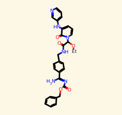 CCOC(C(=O)NCc1ccc(C(N)=NC(=O)OCc2ccccc2)cc1)n1cccc(Nc2cccnc2)c1=O